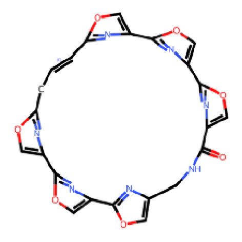 O=C1NCc2coc(n2)-c2coc(n2)-c2coc(n2)C/C=C/c2nc(co2)-c2nc(co2)-c2nc1co2